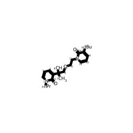 CCCn1cccc(C(C)(C)COCCn2cccc(C(C)(C)C)c2=O)c1=O